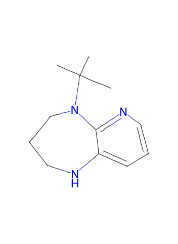 CC(C)(C)N1CCCNc2cccnc21